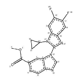 COC(=O)c1cc2c(cn1)ncn2-c1nc2cc(F)c(F)cc2n1C1CC1